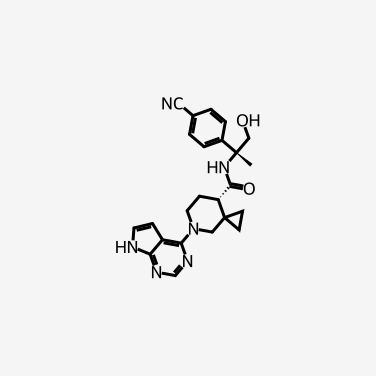 C[C@@](CO)(NC(=O)[C@H]1CCN(c2ncnc3[nH]ccc23)CC12CC2)c1ccc(C#N)cc1